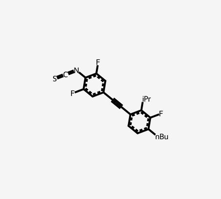 CCCCc1ccc(C#Cc2cc(F)c(N=C=S)c(F)c2)c(C(C)C)c1F